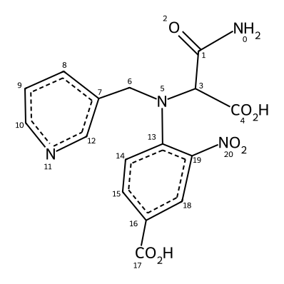 NC(=O)C(C(=O)O)N(Cc1cccnc1)c1ccc(C(=O)O)cc1[N+](=O)[O-]